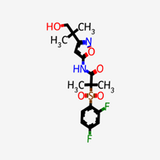 CC(C)(CO)c1cc(NC(=O)C(C)(C)S(=O)(=O)c2ccc(F)cc2F)on1